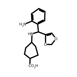 Nc1ccccc1C(NC1CCC(C(=O)O)CC1)C1=COCO1